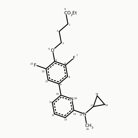 CCOC(=O)CCCOc1c(F)cc(-c2cccc(N(C)C3CC3)n2)cc1F